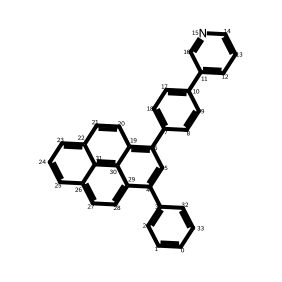 c1ccc(-c2cc(-c3ccc(-c4cccnc4)cc3)c3ccc4cccc5ccc2c3c54)cc1